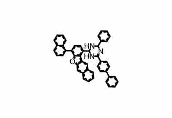 c1ccc(-c2ccc(C3=NC(c4ccccc4)NC(c4ccc(-c5cccc6ccccc56)c5oc6cc7ccccc7cc6c45)N3)cc2)cc1